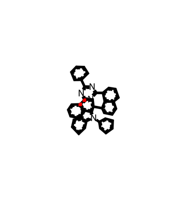 c1ccc(-c2nc(-c3ccccc3)nc(-c3cccc4cccc(-c5cccc6c7ccccc7n(-c7ccccc7)c56)c34)n2)cc1